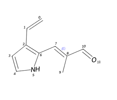 C=Cc1cc[nH]c1/C=C(\C)C=O